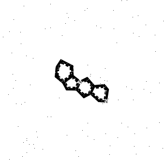 c1ccc2c(c1)cc1cc3cnccc3cn12